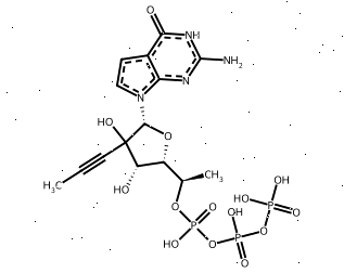 CC#CC1(O)[C@@H](O)[C@@H]([C@@H](C)OP(=O)(O)OP(=O)(O)OP(=O)(O)O)O[C@H]1n1ccc2c(=O)[nH]c(N)nc21